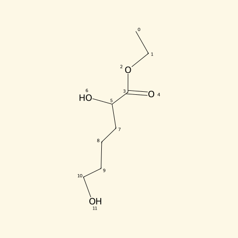 CCOC(=O)C(O)CCCCO